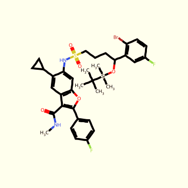 CNC(=O)c1c(-c2ccc(F)cc2)oc2cc(NS(=O)(=O)CCCC(O[Si](C)(C)C(C)(C)C)c3cc(F)ccc3Br)c(C3CC3)cc12